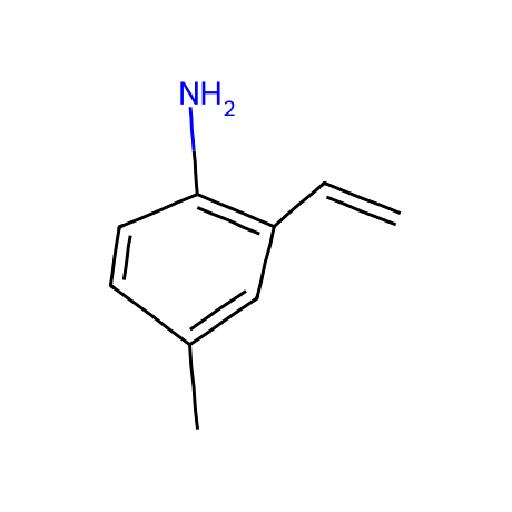 C=Cc1cc(C)ccc1N